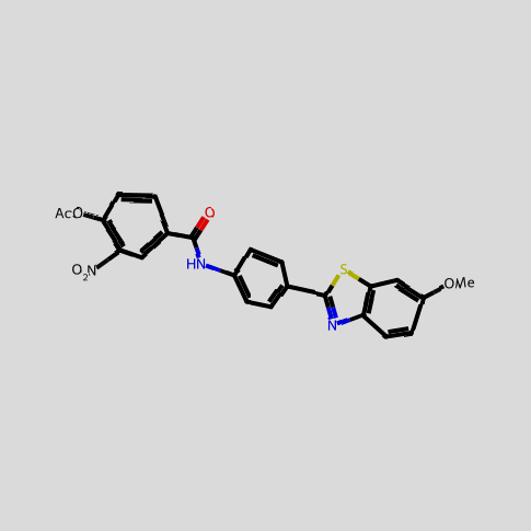 COc1ccc2nc(-c3ccc(NC(=O)c4ccc(OC(C)=O)c([N+](=O)[O-])c4)cc3)sc2c1